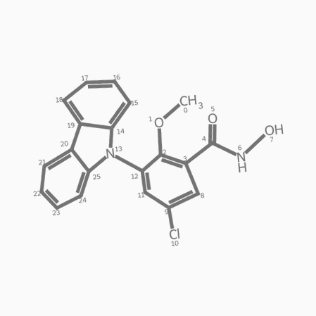 COc1c(C(=O)NO)cc(Cl)cc1-n1c2ccccc2c2ccccc21